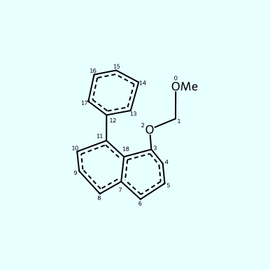 COCOc1cccc2cccc(-c3ccccc3)c12